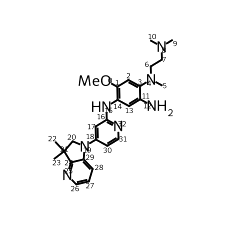 COc1cc(N(C)CCN(C)C)c(N)cc1Nc1cc(N2CC(C)(C)c3ncccc32)ccn1